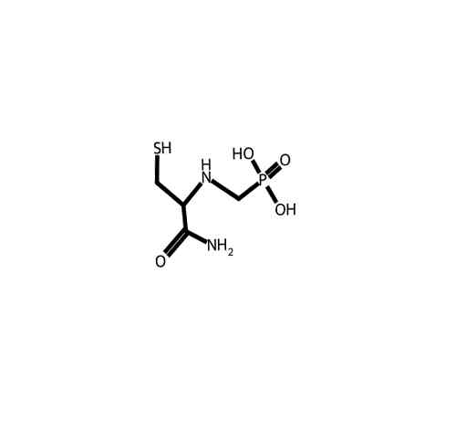 NC(=O)C(CS)NCP(=O)(O)O